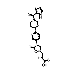 O=C1OC(CNC(O)=S)CN1c1ccc(N2CCN(C(=S)c3ncc[nH]3)CC2)nc1